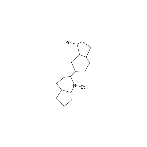 CCN1C2CCCC2CCC1C1CCC2CCC(C(C)C)C2C1